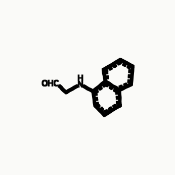 O=CCNc1cccc2ccccc12